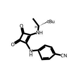 C[C@@H](Nc1c(Nc2ccc(C#N)cc2)c(=O)c1=O)C(C)(C)C